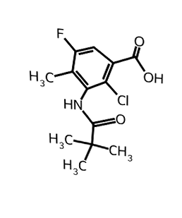 Cc1c(F)cc(C(=O)O)c(Cl)c1NC(=O)C(C)(C)C